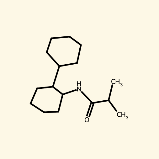 CC(C)C(=O)NC1CCCCC1C1CCCCC1